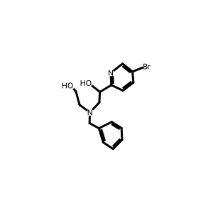 OCCN(Cc1ccccc1)CC(O)c1ccc(Br)cn1